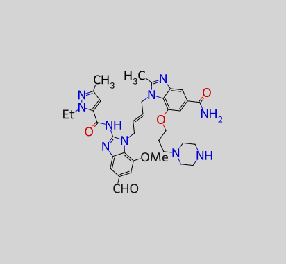 CCn1nc(C)cc1C(=O)Nc1nc2cc(C=O)cc(OC)c2n1C/C=C/Cn1c(C)nc2cc(C(N)=O)cc(OCCCN3CCNCC3)c21